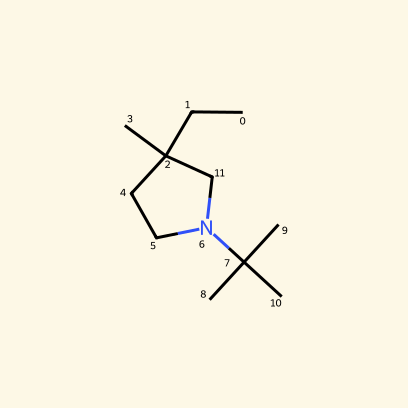 CCC1(C)CCN(C(C)(C)C)C1